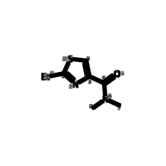 CCc1nc(C(=O)N(C)C)cs1